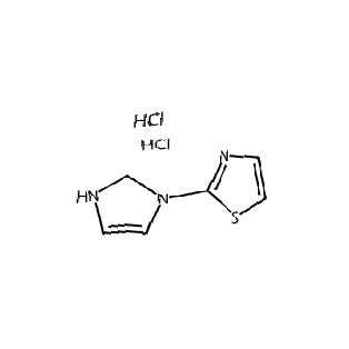 C1=CN(c2nccs2)CN1.Cl.Cl